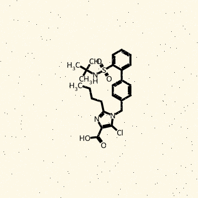 CCCCc1nc(C(=O)O)c(Cl)n1Cc1ccc(-c2ccccc2S(=O)(=O)NC(C)(C)C)cc1